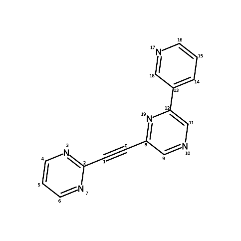 C(#Cc1ncccn1)c1cncc(-c2cccnc2)n1